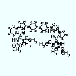 COC(=O)N[C@H](C(=O)N1CCCC[C@H]1c1ccc(-c2ccc(-c3ccc(-c4cnc([C@@H]5CCCN5C(=O)[C@@H](NC(=O)OC)[C@@H](C)OC)[nH]4)cc3)cc2)[nH]1)C(C)OC